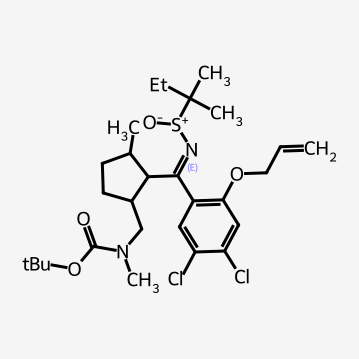 C=CCOc1cc(Cl)c(Cl)cc1/C(=N/[S+]([O-])C(C)(C)CC)C1C(C)CCC1CN(C)C(=O)OC(C)(C)C